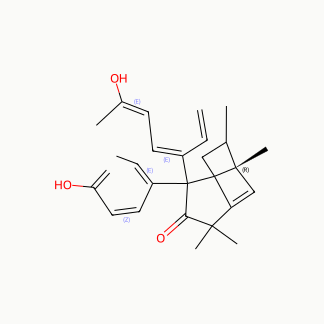 C=C/C(=C\C=C(/C)O)C1(C(/C=C\C(=C)O)=C/C)C(=O)C(C)(C)C2=C[C@@]3(C)C(C)CC213